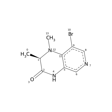 C[C@@H]1C(=O)Nc2cncc(Br)c2N1C